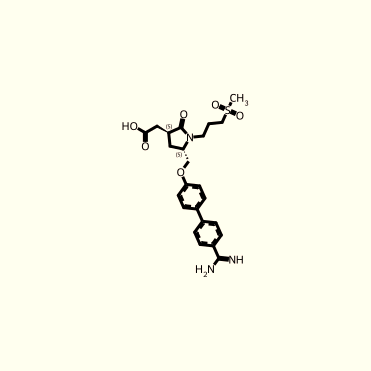 CS(=O)(=O)CCCN1C(=O)[C@H](CC(=O)O)C[C@H]1COc1ccc(-c2ccc(C(=N)N)cc2)cc1